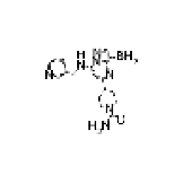 Bc1cnn2c(NCc3cccnc3)cc(C3CCN(C(N)=O)CC3)nc12